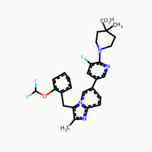 Cc1nc2ccc(-c3cnc(N4CCC(C)(C(=O)O)CC4)c(F)c3)cn2c1Cc1ccccc1OC(F)F